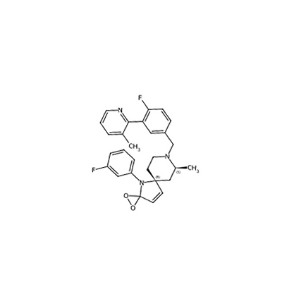 Cc1cccnc1-c1cc(CN2CC[C@]3(C=CC4(OO4)N3c3cccc(F)c3)C[C@@H]2C)ccc1F